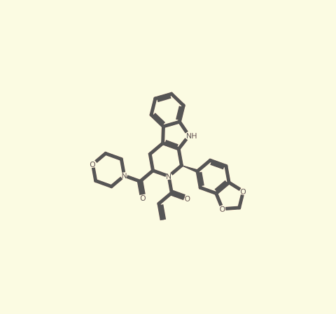 C=CC(=O)N1C(C(=O)N2CCOCC2)Cc2c([nH]c3ccccc23)[C@H]1c1ccc2c(c1)OCO2